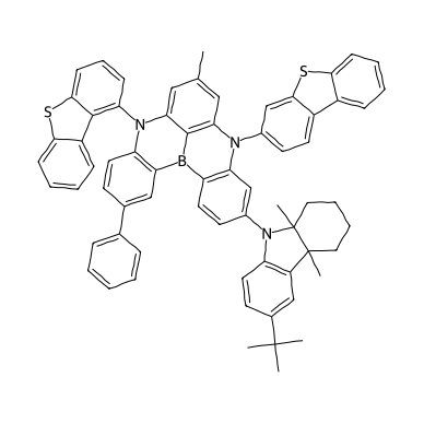 Cc1cc2c3c(c1)N(c1cccc4sc5ccccc5c14)c1ccc(-c4ccccc4)cc1B3c1ccc(N3c4ccc(C(C)(C)C)cc4C4(C)CCCCC34C)cc1N2c1ccc2c(c1)sc1ccccc12